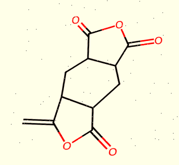 C=C1OC(=O)C2CC3C(=O)OC(=O)C3CC12